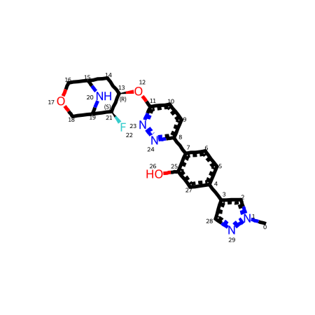 Cn1cc(-c2ccc(-c3ccc(O[C@@H]4CC5COCC(N5)[C@@H]4F)nn3)c(O)c2)cn1